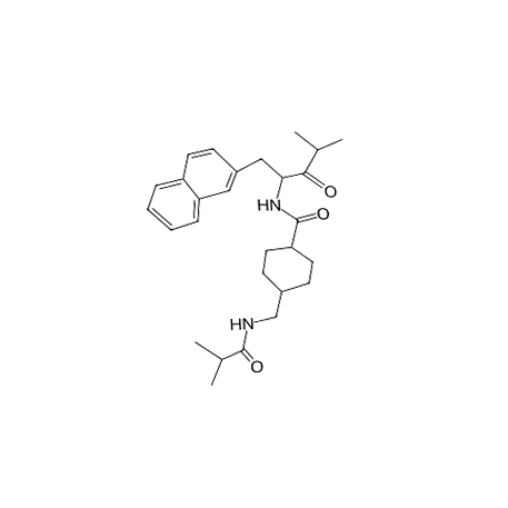 CC(C)C(=O)NCC1CCC(C(=O)NC(Cc2ccc3ccccc3c2)C(=O)C(C)C)CC1